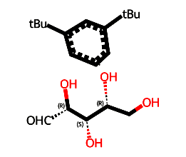 CC(C)(C)c1c[c]cc(C(C)(C)C)c1.O=C[C@H](O)[C@@H](O)[C@H](O)CO